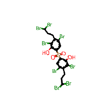 O=S(=O)(c1cc(Br)c(CCC(Br)Br)c(Br)c1O)c1cc(Br)c(CCC(Br)Br)c(Br)c1O